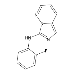 Fc1ccccc1Nc1ncc2cccnn12